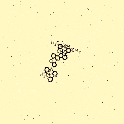 Cc1cc(C)c(B(c2c(C)cc(C)cc2C)c2cc3c4cccc5c4c(cc3c3ccccc23)-c2ccc(N(c3ccccc3)c3cccc4c3C(C)(C)c3ccccc3-4)cc2O5)c(C)c1